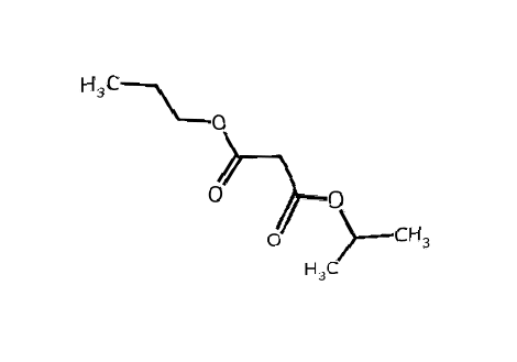 CCCOC(=O)CC(=O)OC(C)C